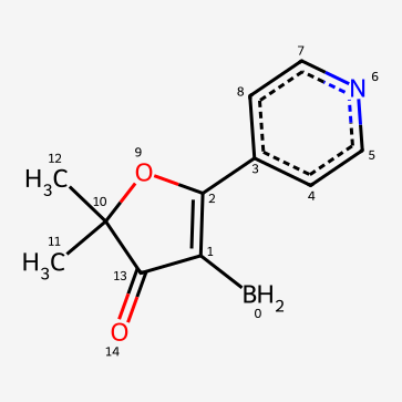 BC1=C(c2ccncc2)OC(C)(C)C1=O